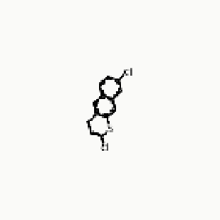 ClC1=CCc2cc3ccc(Cl)cc3cc2S1